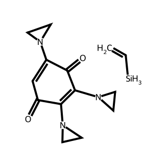 C=C[SiH3].O=C1C=C(N2CC2)C(=O)C(N2CC2)=C1N1CC1